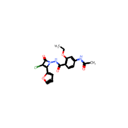 CCOc1cc(NC(C)=O)ccc1C(=O)NN1C(=O)C(Cl)C1c1ccco1